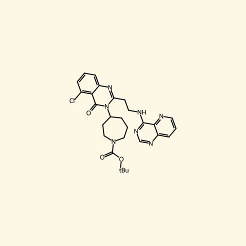 CC(C)(C)OC(=O)N1CCCC(n2c(CCNc3ncnc4cccnc34)nc3cccc(Cl)c3c2=O)CC1